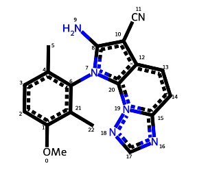 COc1ccc(C)c(-n2c(N)c(C#N)c3ccc4ncnn4c32)c1C